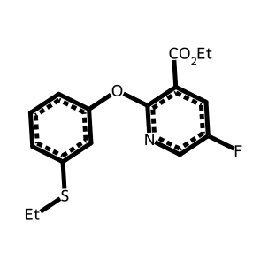 CCOC(=O)c1cc(F)cnc1Oc1cccc(SCC)c1